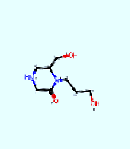 O=C1CNCC(CO)N1CCCO